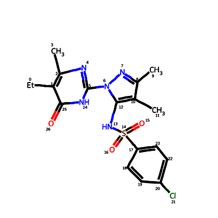 CCc1c(C)nc(-n2nc(C)c(C)c2NS(=O)(=O)c2ccc(Cl)cc2)[nH]c1=O